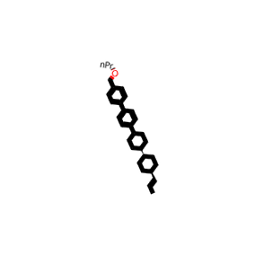 C/C=C/[C@H]1CC[C@H](C2CCC(c3ccc(-c4ccc(COCCC)cc4)cc3)CC2)CC1